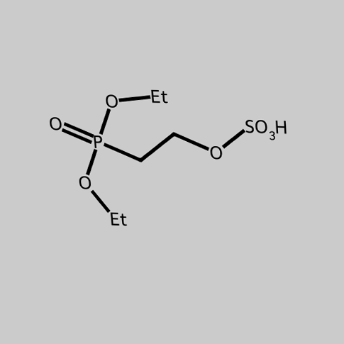 CCOP(=O)(CCOS(=O)(=O)O)OCC